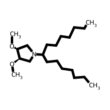 CCCCCCCC(CCCCCCC)N1C[C@H](OC)[C@H](OC)C1